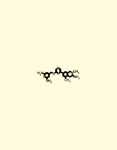 Cc1cc(-c2cncc(OCc3cc(N)nc(N)c3)n2)cc2c1CC(N)N(C)C2